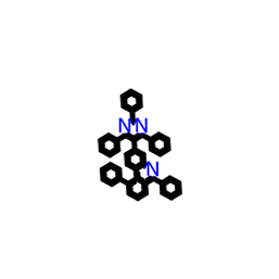 c1ccc(-c2nc(-c3ccccc3)c(-c3ccc4c(c3)nc(-c3ccccc3)c3cccc(-c5ccccc5)c34)c(-c3ccccc3)n2)cc1